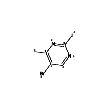 Cc1nc(I)ncc1Br